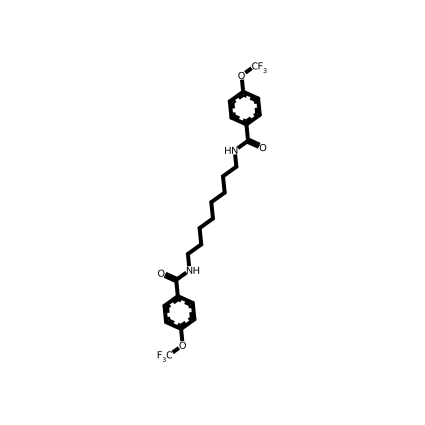 O=C(NCCCCCCCCNC(=O)c1ccc(OC(F)(F)F)cc1)c1ccc(OC(F)(F)F)cc1